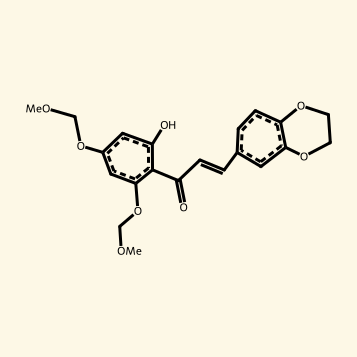 COCOc1cc(O)c(C(=O)C=Cc2ccc3c(c2)OCCO3)c(OCOC)c1